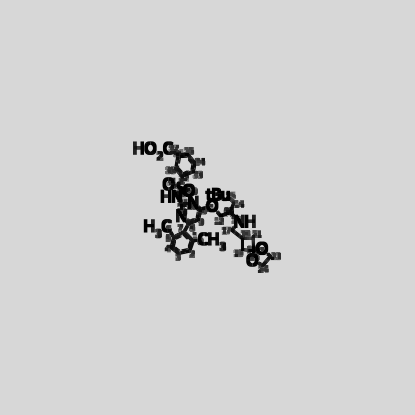 Cc1cccc(C)c1-c1cc(OC[C@@H](CC(C)(C)C)NCC2CC3(C2)OCCO3)nc(NS(=O)(=O)c2cccc(C(=O)O)c2)n1